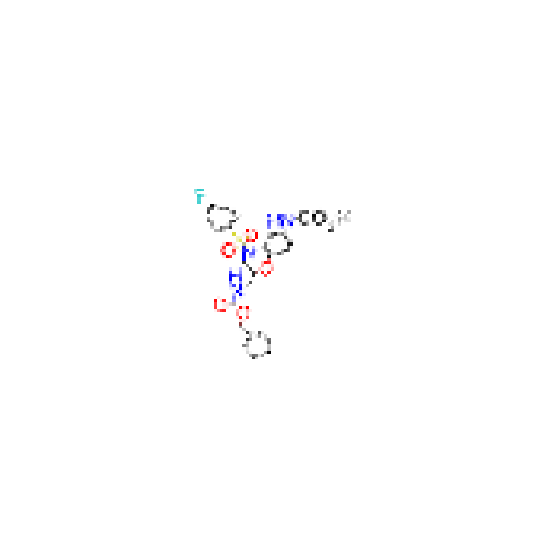 O=C(O)Nc1ccc2c(c1)N(S(=O)(=O)c1ccc(F)cc1)CC(CNC(=O)OCc1ccccc1)O2